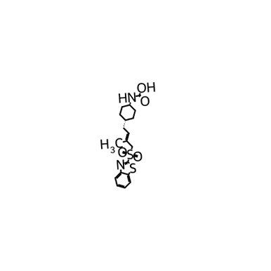 C/C(=C\C[C@H]1CC[C@H](NC(=O)O)CC1)CS(=O)(=O)c1nc2ccccc2s1